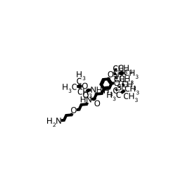 CC(C)(C)OC(=O)NC(Cc1ccc(O[Si](C)(C)C(C)(C)C)c(O[Si](C)(C)C(C)(C)C)c1)C(=O)NCCCOCCCN